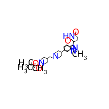 Cn1nc(C2CCC(=O)NC2=O)c2ccc(C3CCN(CCC4CCN(C(=O)OC(C)(C)C)CC4)CC3)cc21